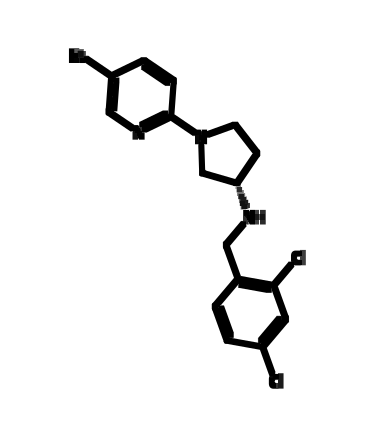 CCc1ccc(N2CC[C@H](NCc3ccc(Cl)cc3Cl)C2)nc1